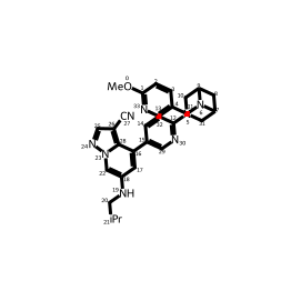 COc1ccc(CN2C3CC2CN(c2ccc(-c4cc(NCC(C)C)cn5ncc(C#N)c45)cn2)C3)cn1